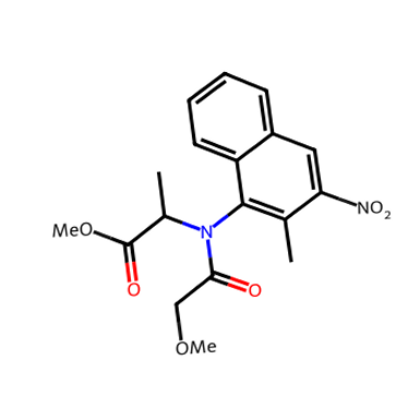 COCC(=O)N(c1c(C)c([N+](=O)[O-])cc2ccccc12)C(C)C(=O)OC